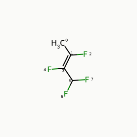 CC(F)=C(F)C(F)F